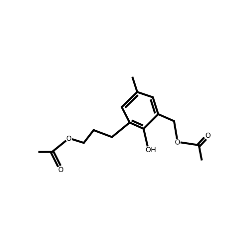 CC(=O)OCCCc1cc(C)cc(COC(C)=O)c1O